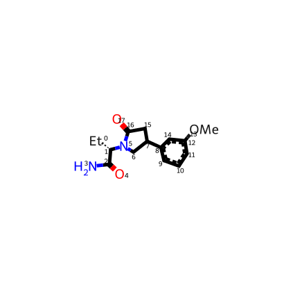 CC[C@@H](C(N)=O)N1CC(c2cccc(OC)c2)CC1=O